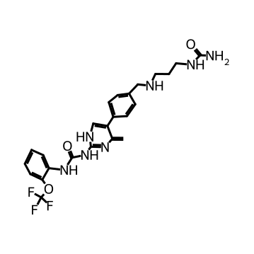 C=C1N=C(NC(=O)Nc2ccccc2OC(F)(F)F)NC=C1c1ccc(CNCCCNC(N)=O)cc1